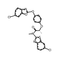 C[C@@H](Oc1ccc(Oc2nc3ccc(Cl)cc3o2)cc1)C(=O)N(C)c1nc2ccc(Cl)cc2s1